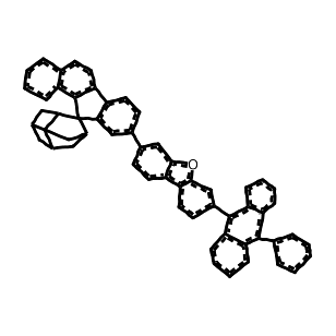 c1ccc(-c2c3ccccc3c(-c3ccc4c(c3)oc3cc(-c5ccc6c(c5)C5(c7c-6ccc6ccccc76)C6CC7CC(C6)CC5C7)ccc34)c3ccccc23)cc1